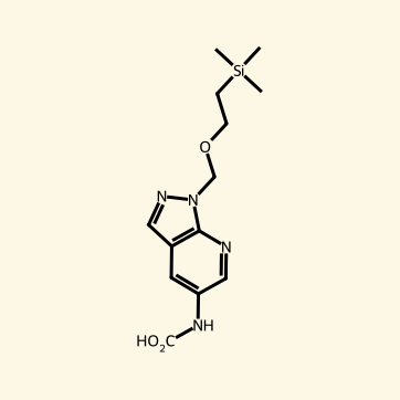 C[Si](C)(C)CCOCn1ncc2cc(NC(=O)O)cnc21